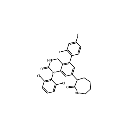 O=C1NCCCCC1c1cc(-c2ccc(F)cc2F)c2c(c1)N(c1c(Cl)cccc1Cl)C(=O)NC2